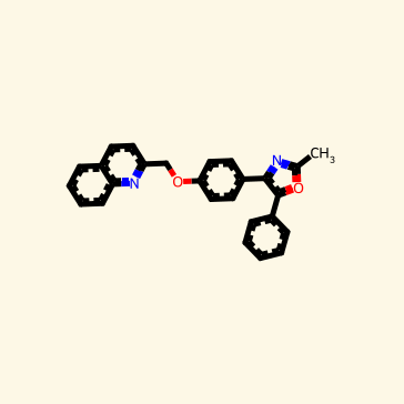 Cc1nc(-c2ccc(OCc3ccc4ccccc4n3)cc2)c(-c2ccccc2)o1